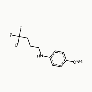 COc1ccc(NCCCC(F)(F)Cl)cc1